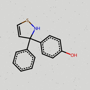 Oc1ccc(C2(c3ccccc3)C=CSN2)cc1